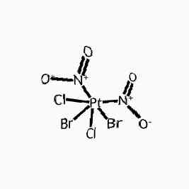 O=[N+]([O-])[Pt]([Cl])([Cl])([Br])([Br])[N+](=O)[O-]